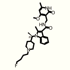 COc1cc(C)[nH]c(=O)c1CNC(=O)c1c(C)n([C@H](C)C2CCN(CCCCF)CC2)c2ccccc12